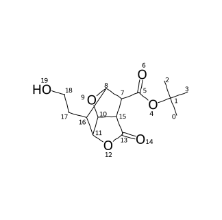 CC(C)(C)OC(=O)C1C2OC3C(OC(=O)C31)C2CCO